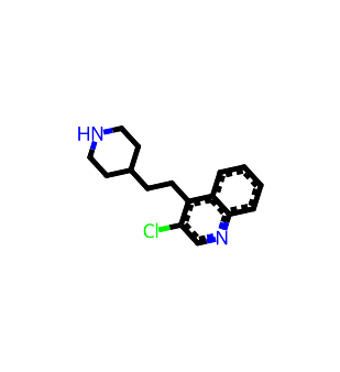 Clc1cnc2ccccc2c1CCC1CCNCC1